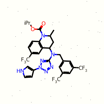 CC(C)OC(=O)N1c2ccc(C(F)(F)F)cc2C(N(Cc2cc(C(F)(F)F)cc(C(F)(F)F)c2)c2nnn(-c3cc[nH]c3)n2)CC1C